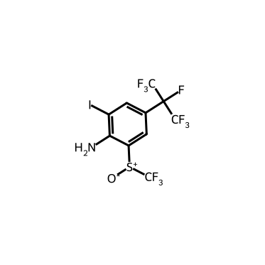 Nc1c(I)cc(C(F)(C(F)(F)F)C(F)(F)F)cc1[S+]([O-])C(F)(F)F